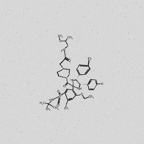 CCOc1cc(C)c(S(=O)(=O)NC(C)(C)C)cc1C1(C(=O)N2CCN(CC(=O)NCC(C)OC)CC2)N[C@H](c2ccc(Cl)cc2)[C@H](c2ccc(Cl)cc2)N1